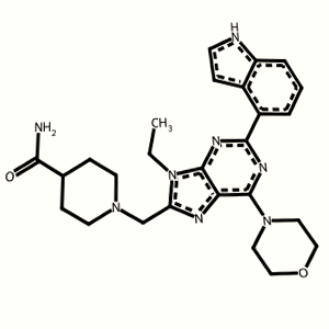 CCn1c(CN2CCC(C(N)=O)CC2)nc2c(N3CCOCC3)nc(-c3cccc4[nH]ccc34)nc21